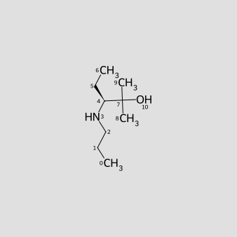 CCCN[C@@H](CC)C(C)(C)O